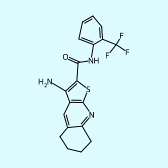 Nc1c(C(=O)Nc2ccccc2C(F)(F)F)sc2nc3c(cc12)CCCC3